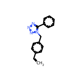 C=Cc1ccc(Cn2nnnc2-c2ccccc2)cc1